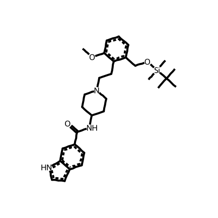 COc1cccc(CO[Si](C)(C)C(C)(C)C)c1CCN1CCC(NC(=O)c2ccc3cc[nH]c3c2)CC1